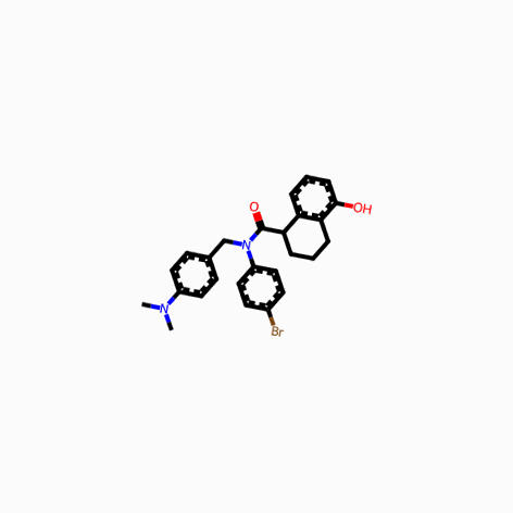 CN(C)c1ccc(CN(C(=O)C2CCCc3c(O)cccc32)c2ccc(Br)cc2)cc1